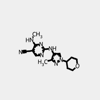 CNc1nc(Nc2cn(C3CCOCC3)nc2C)ncc1C#N